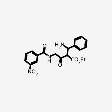 CCOC(=O)C(C(=O)CNC(=O)c1cccc([N+](=O)[O-])c1)C(N)c1ccccc1